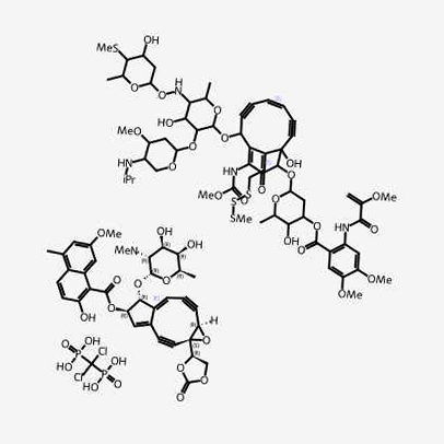 C=C(OC)C(=O)Nc1cc(OC)c(OC)cc1C(=O)OC1CC(OC2C(=O)C(NC(=O)OC)=C3/C(=C\CSSSC)C2(O)C#C/C=C\C#CC3OC2OC(C)C(NOC3CC(O)C(SC)C(C)O3)C(O)C2OC2CC(OC)C(NC(C)C)CO2)OC(C)C1O.CN[C@H]1[C@@H](O[C@@H]2/C3=C/C#C[C@H]4O[C@@]4([C@H]4COC(=O)O4)C#CC3=C[C@H]2OC(=O)c2c(O)ccc3c(C)cc(OC)cc23)O[C@H](C)[C@H](O)[C@@H]1O.O=P(O)(O)C(Cl)(Cl)P(=O)(O)O